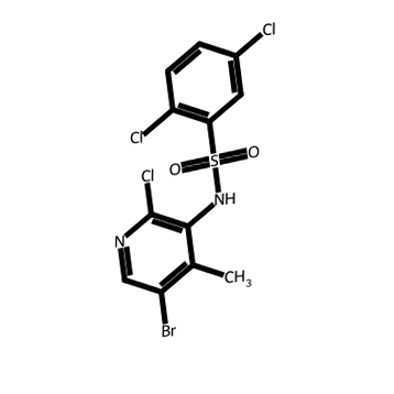 Cc1c(Br)cnc(Cl)c1NS(=O)(=O)c1cc(Cl)ccc1Cl